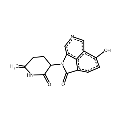 C=C1CCC(N2C(=O)c3ccc(O)c4cncc2c34)C(=O)N1